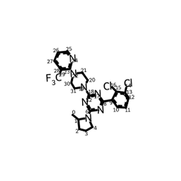 CC1CCCN1c1nc(-c2cccc(Cl)c2Cl)nc(N2CCN(c3ncccc3C(F)(F)F)CC2)n1